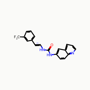 O=C(N/C=C/c1cccc(C(F)(F)F)c1)Nc1ccc2ncccc2c1